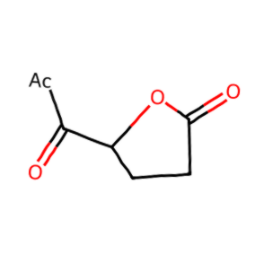 CC(=O)C(=O)C1CCC(=O)O1